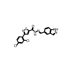 O=C(N/N=C/c1ccc2[nH]ncc2c1)c1cc(-c2ccc(Cl)cc2Cl)ns1